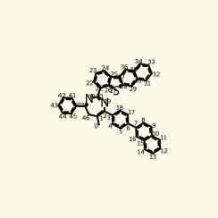 CC1=C(c2ccc(-c3ccc4ccccc4c3)cc2)N=C(c2cccc3c2sc2cc4ccccc4cc23)N=C(c2ccccc2)C1